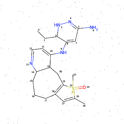 CCC1NN=C(N)C=C1NC1=CC=NC2CCCC3=C(CC12)[SH](C)(=O)C(C)=C3